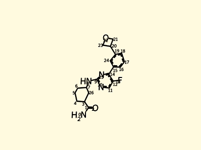 NC(=O)C1CCCC(Nc2ncc(F)c(-c3cccc(C4COC4)c3)n2)C1